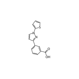 O=C(O)c1cccc(-c2ccn(-c3cccs3)n2)c1